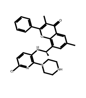 Cc1cc([C@@H](C)Nc2ccc(Cl)nc2N2CCNCC2)c2oc(-c3ccccc3)c(C)c(=O)c2c1